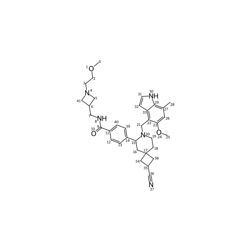 COCCN1CC(CNC(=O)c2ccc(C3CC4(CCN3Cc3c(OC)cc(C)c5[nH]ccc35)CC(C#N)C4)cc2)C1